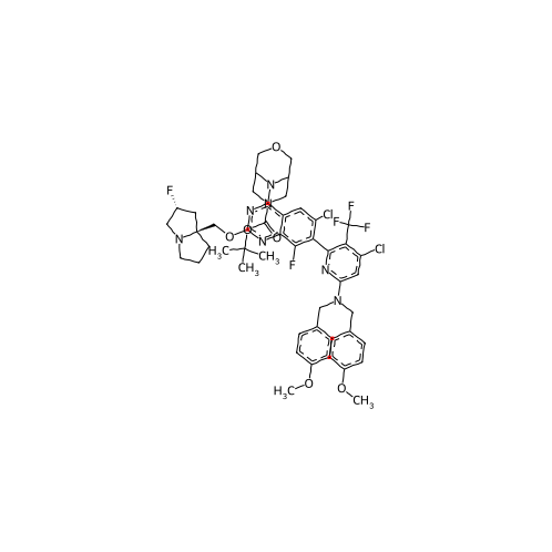 COc1ccc(CN(Cc2ccc(OC)cc2)c2cc(Cl)c(C(F)(F)F)c(-c3c(Cl)cc4c(N5C6COCC5CN(C(=O)OC(C)(C)C)C6)nc(OC[C@@]56CCCN5C[C@H](F)C6)nc4c3F)n2)cc1